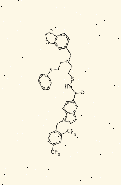 O=C(NSCCN(CCSc1ccccc1)Cc1ccc2c(c1)OCO2)c1ccc2c(ccn2Cc2ccc(C(F)(F)F)cc2C(F)(F)F)c1